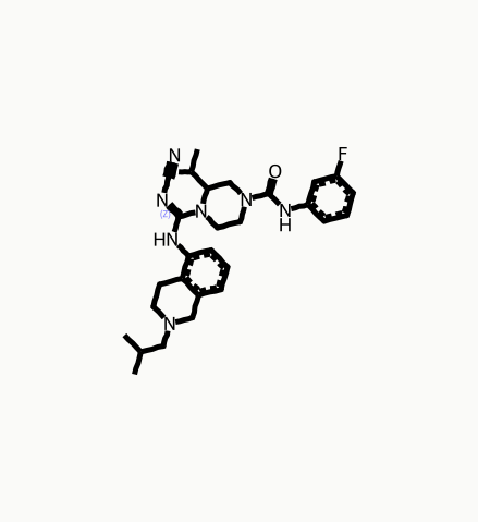 CC(C)CN1CCc2c(cccc2N/C(=N/C#N)N2CCN(C(=O)Nc3cccc(F)c3)CC2C(C)C)C1